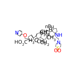 C=C[C@@]12CC[C@]3(C)C(CC[C@@H]4C5[C@H](CCCC)CC[C@]5(NCCN5CCS(=O)(=O)CC5)CC[C@]43C)[C@@]1(C)CC=C(C1=CCC(COc3ccncc3)(C(=O)O)CC1)C2(C)C